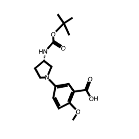 COc1ccc(N2CC[C@H](NC(=O)OC(C)(C)C)C2)cc1C(=O)O